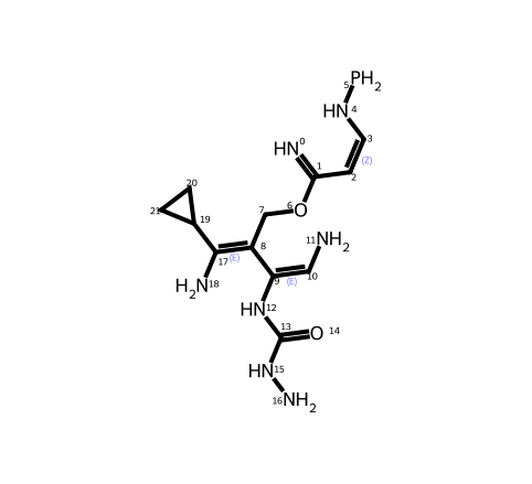 N=C(/C=C\NP)OCC(/C(=C\N)NC(=O)NN)=C(/N)C1CC1